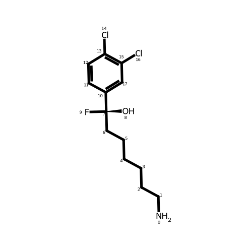 NCCCCCC[C@](O)(F)c1ccc(Cl)c(Cl)c1